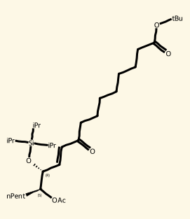 CCCCC[C@H](OC(C)=O)[C@@H](C=CC(=O)CCCCCCCC(=O)OC(C)(C)C)O[Si](C(C)C)(C(C)C)C(C)C